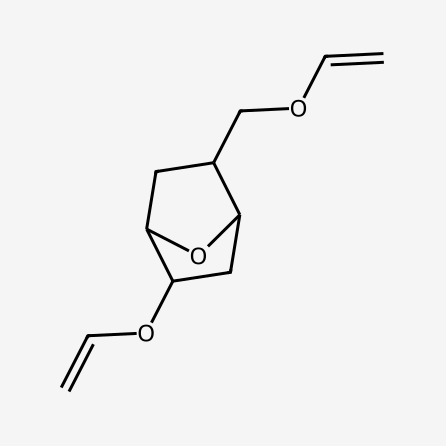 C=COCC1CC2OC1CC2OC=C